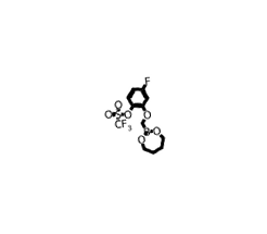 O=S(=O)(Oc1ccc(F)cc1OCB1OCCCCO1)C(F)(F)F